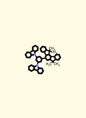 CC1(C)c2ccccc2-c2c1cc(-c1cc(-n3c4ccccc4c4ccccc43)cc(-n3c4ccccc4c4ccccc43)c1)c1c2C(C)(C)c2ccccc2-1